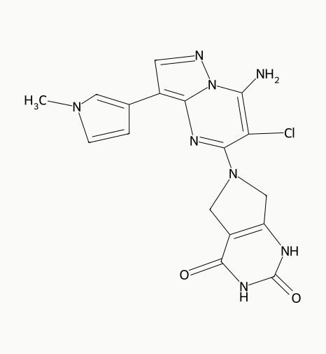 Cn1ccc(-c2cnn3c(N)c(Cl)c(N4Cc5[nH]c(=O)[nH]c(=O)c5C4)nc23)c1